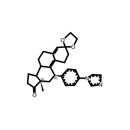 C[C@]12C[C@H](c3ccc(-n4ccnc4)cc3)C3=C4CCC5(C=C4CCC3C1CCC2=O)OCCO5